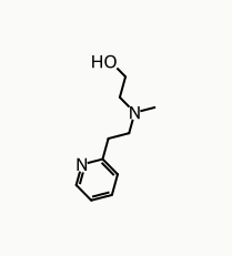 CN(CCO)CCc1ccccn1